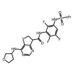 CCCS(=O)(=O)Nc1cc(F)c(F)c(NC(=O)C2CSc3c(NC4CCOC4)ncnc32)c1F